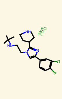 CC(C)(C)NCCn1cc(-c2ccc(F)c(Cl)c2)nc1C1CCNCC1.Cl.Cl.Cl